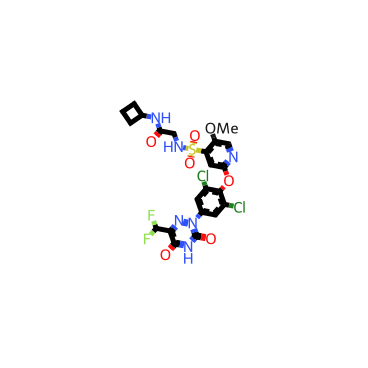 COc1cnc(Oc2c(Cl)cc(-n3nc(C(F)F)c(=O)[nH]c3=O)cc2Cl)cc1S(=O)(=O)NCC(=O)NC1CCC1